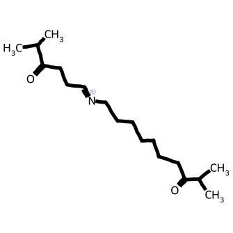 CC(C)C(=O)CC/C=N/CCCCCCCC(=O)C(C)C